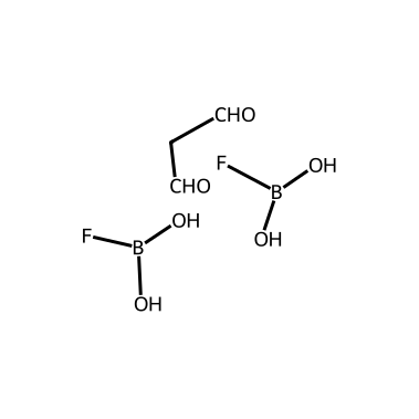 O=CCC=O.OB(O)F.OB(O)F